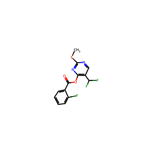 CSc1ncc(C(F)F)c(OC(=O)c2ccccc2F)n1